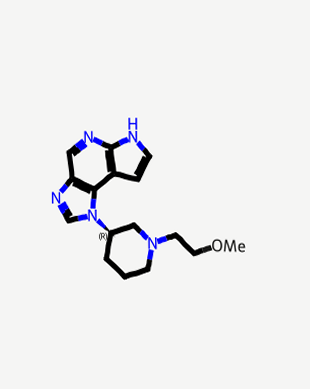 COCCN1CCC[C@@H](n2cnc3cnc4[nH]ccc4c32)C1